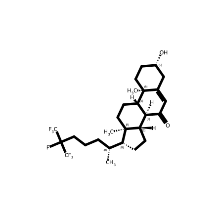 C[C@H](CCCC(F)(C(F)(F)F)C(F)(F)F)[C@H]1CC[C@H]2[C@@H]3C(=O)C=C4C[C@@H](O)CC[C@]4(C)[C@H]3CC[C@]12C